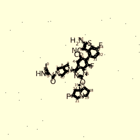 C[C@@H]1N[C@H]1C(=O)N1CC2CN(c3nc(OC[C@@]45CCCN4C[C@H](F)C5)nc4c(F)c(-c5ccc(F)c6sc(N)c(C#N)c56)c(Cl)cc34)C2C1